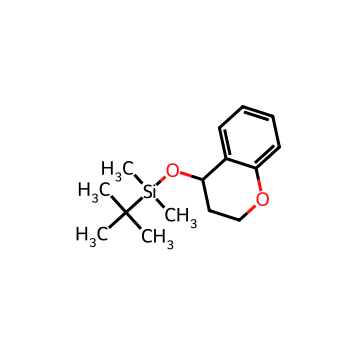 CC(C)(C)[Si](C)(C)OC1CCOc2ccccc21